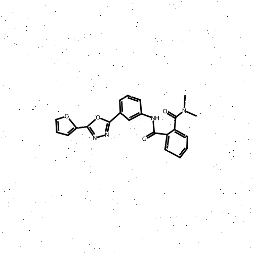 CN(C)C(=O)c1ccccc1C(=O)Nc1cccc(-c2nnc(-c3ccco3)o2)c1